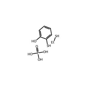 CCS.O=P(O)(O)O.Oc1ccccc1S